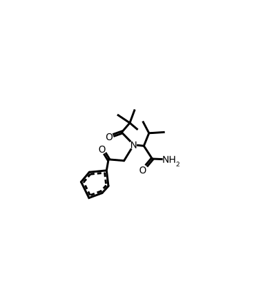 CC(C)C(C(N)=O)N(CC(=O)c1ccccc1)C(=O)C(C)(C)C